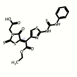 CCOC(=O)/C(=C1\SC(=S)N(CC(=O)O)C1=O)c1csc(NC(=S)Nc2ccccc2)n1